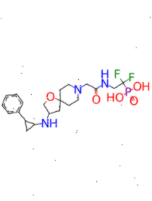 O=C(CN1CCC2(CC1)CC(NC1CC1c1ccccc1)CO2)NCC(F)(F)P(=O)(O)O